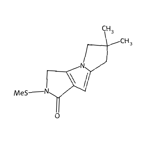 CSN1Cc2c(cc3n2CC(C)(C)C3)C1=O